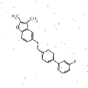 Cc1oc2ccc(CCN3CC=C(c4cccc(F)c4)CC3)cc2c1C